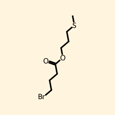 CSCCCOC(=O)CCCBr